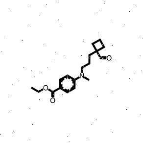 CCOC(=O)c1ccc(N(C)CCCC2(C=O)CCC2)cc1